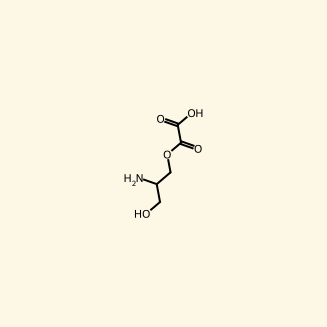 NC(CO)COC(=O)C(=O)O